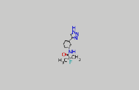 CC(C)(F)C(=O)Nc1cccc(-c2c[nH]nn2)c1